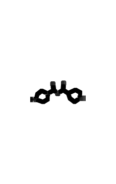 O=C(OC(=O)N1CCNCC1)C1CCNCC1